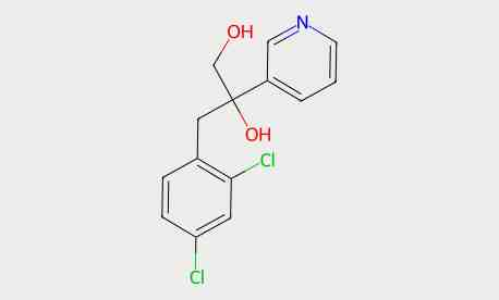 OCC(O)(Cc1ccc(Cl)cc1Cl)c1cccnc1